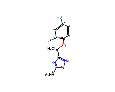 CC(=O)Nc1nc(C(C)Oc2ccc(Br)cc2F)ns1